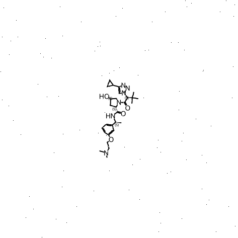 C[C@H](NC(=O)[C@@H]1C[C@@H](O)CN1C(=O)[C@@H](n1cc(C2CC2)nn1)C(C)(C)C)c1cccc(OCCN(C)C)c1